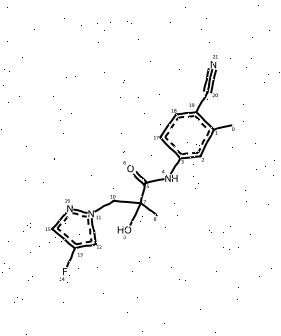 Cc1cc(NC(=O)C(C)(O)Cn2cc(F)cn2)ccc1C#N